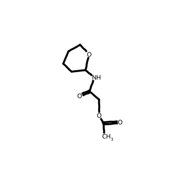 CC(=O)OCC(=O)NC1CCCCO1